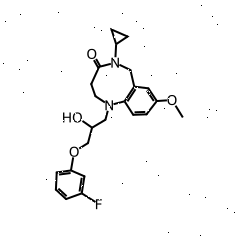 COc1ccc2c(c1)CN(C1CC1)C(=O)CCN2CC(O)COc1cccc(F)c1